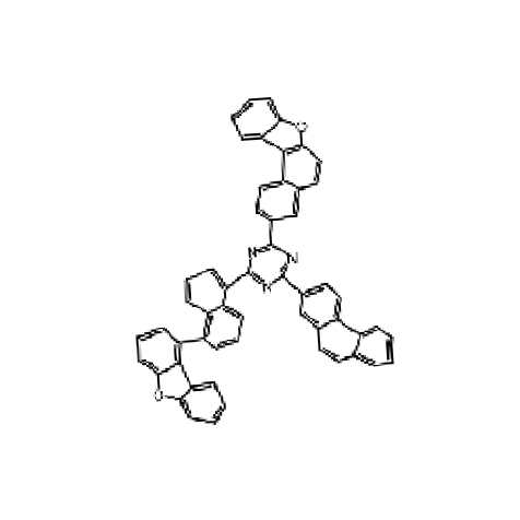 c1ccc2c(c1)ccc1cc(-c3nc(-c4ccc5c(ccc6oc7ccccc7c65)c4)nc(-c4cccc5c(-c6cccc7oc8ccccc8c67)cccc45)n3)ccc12